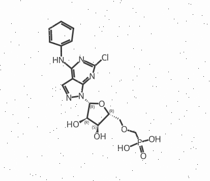 O=P(O)(O)COC[C@H]1O[C@@H](n2ncc3c(Nc4ccccc4)nc(Cl)nc32)[C@H](O)[C@@H]1O